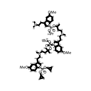 COc1ccc2c(c1)c(CCN(C)C)cn2P(=O)(OC(C)C)OC(C)CCN(C)CCc1cn(P(=O)(OC(C)(C)C)OC(C)(C)CCN(C)CCc2cn(P(=O)(OC3CC3)OC3CC3)c3ccc(OC)cc23)c2ccc(OC)cc12